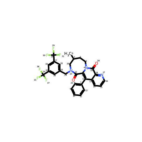 CC1CCn2c(c(-c3ccccc3)c3cccnc3c2=O)C(=O)N(Cc2cc(C(F)(F)F)cc(C(F)(F)F)c2)C1